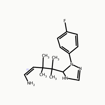 CC(C)(/C=C\N)C(C)(C)C1NC=NN1c1ccc(F)cc1